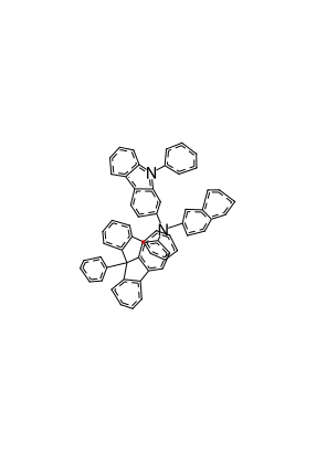 c1ccc(-c2ccccc2C2(c3ccccc3)c3ccccc3-c3ccc(N(c4ccc5ccccc5c4)c4ccc5c6ccccc6n(-c6ccccc6)c5c4)cc32)cc1